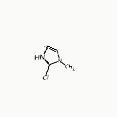 CN1C=[C]NC1Cl